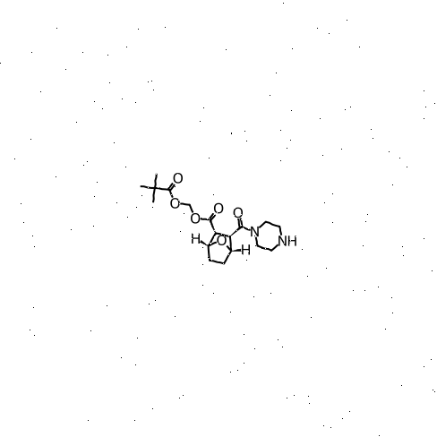 CC(C)(C)C(=O)OCOC(=O)[C@H]1[C@@H](C(=O)N2CCNCC2)[C@@H]2CC[C@H]1O2